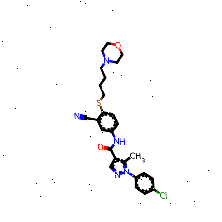 Cc1c(C(=O)Nc2ccc(SCCCCN3CCOCC3)c(C#N)c2)cnn1-c1ccc(Cl)cc1